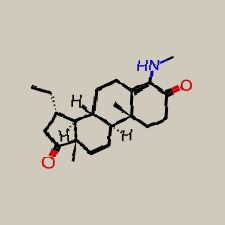 CC[C@H]1CC(=O)[C@@]2(C)CC[C@H]3[C@@H](CCC4=C(NC)C(=O)CC[C@@]43C)[C@H]12